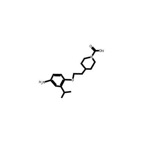 CC(C)c1cc(N)ccc1OCCC1CCN(C(=O)O)CC1